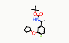 C[C@@H](NC(=O)OC(C)(C)C)c1ccc(F)c(OC2CCCC2)c1